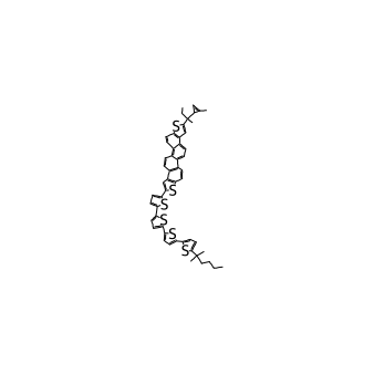 CCCCC(C)(C)c1ccc(-c2ccc(-c3ccc(-c4ccc(-c5cc6c(ccc7c6ccc6c8ccc9sc(C(C)(CC)C%10C=C%10C)cc9c8ccc76)s5)s4)s3)s2)s1